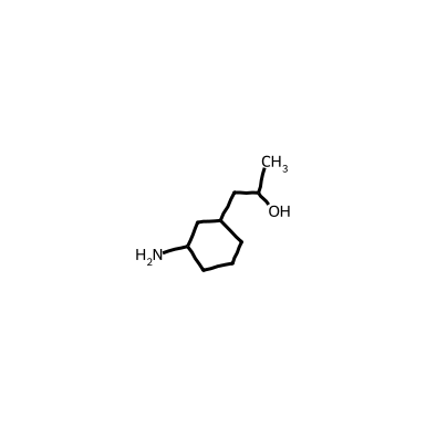 CC(O)CC1CCCC(N)C1